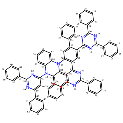 c1ccc(-c2cc(-c3cc(-c4nc(-c5ccccc5)nc(-c5ccccc5)n4)c(-c4ccccc4)cc3N3c4ccccc4N(c4cc(-c5ccccc5)nc(-c5ccccc5)n4)c4ccccc43)nc(-c3ccccc3)n2)cc1